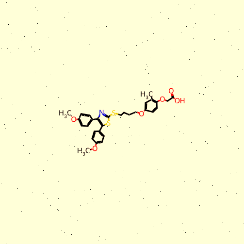 COc1ccc(-c2nc(SCCCCOc3ccc(OCC(=O)O)c(C)c3)sc2-c2ccc(OC)cc2)cc1